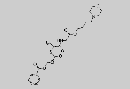 CC(SC(=O)OCOC(=O)c1ccccc1)C(=O)NCC(=O)OCCCCN1CCOCC1